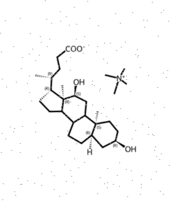 C[C@H](CCC(=O)[O-])[C@H]1CCC2C3CC[C@@H]4C[C@H](O)CC[C@]4(C)C3C[C@H](O)[C@@]21C.C[N+](C)(C)C